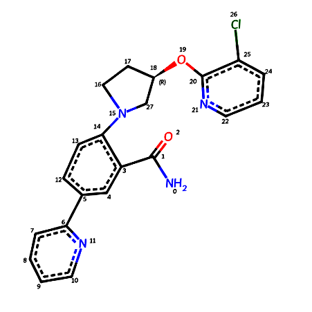 NC(=O)c1cc(-c2ccccn2)ccc1N1CC[C@@H](Oc2ncccc2Cl)C1